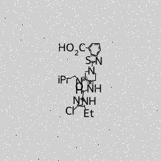 CCc1[nH]c(C(=O)N[C@@H]2CCN(c3nc4cccc(C(=O)O)c4s3)C[C@@H]2NCC(C)C)nc1Cl